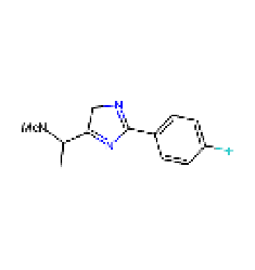 CNC(C)C1=NC(c2ccc(F)cc2)=NC1